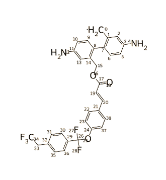 [CH2]c1cc(N)ccc1-c1ccc(N)cc1COC(=O)/C=C/c1ccc(OC(F)(F)c2ccc(CC(F)(F)F)cc2)cc1